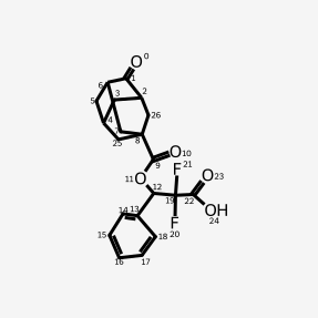 O=C1C2CC3CC1CC(C(=O)OC(c1ccccc1)C(F)(F)C(=O)O)(C3)C2